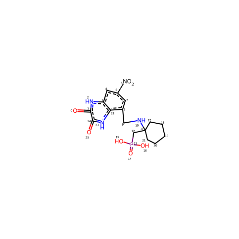 O=c1[nH]c2cc([N+](=O)[O-])cc(CNC3(CP(=O)(O)O)CCCCC3)c2[nH]c1=O